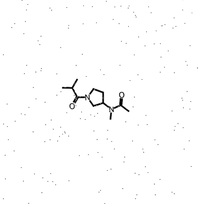 CC(=O)N(C)C1CCN(C(=O)C(C)C)C1